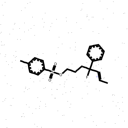 C/C=C/C(F)(CCCOS(=O)(=O)c1ccc(C)cc1)c1ccccc1